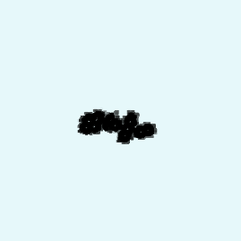 CCS(CC)(c1ccc(-c2c3ccccc3c(-c3ccc4ccccc4c3)c3ccccc23)cc1)c1ccc2ccc3cccc4ccc1c2c34